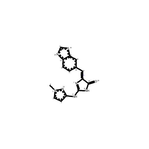 Cn1ccc(NC2=N/C(=C\c3ccc4ncsc4c3)C(=O)N2)n1